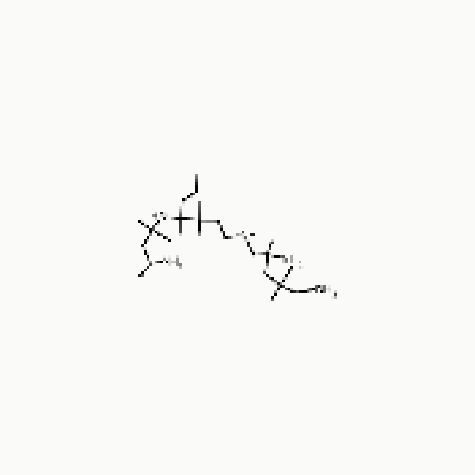 CCCC(C)(NC(C)(C)C[C@H](C)N)C(C)(C)CCNCC(C)(N)CC(C)(C)CN